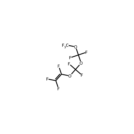 FC(F)=C(F)OC(F)(F)OC(F)(F)OC(F)(F)F